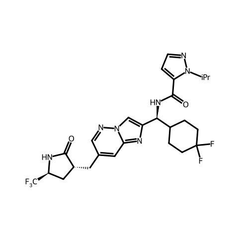 CC(C)n1nccc1C(=O)N[C@H](c1cn2ncc(C[C@@H]3C[C@@H](C(F)(F)F)NC3=O)cc2n1)C1CCC(F)(F)CC1